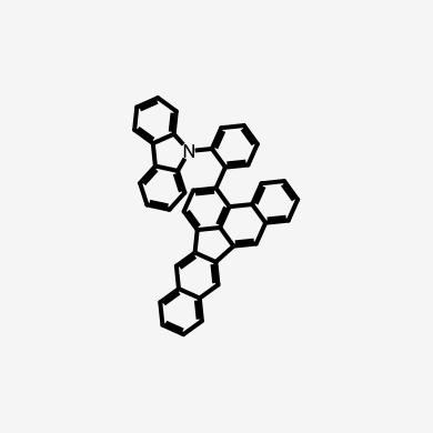 c1ccc(-n2c3ccccc3c3ccccc32)c(-c2ccc3c4c(cc5ccccc5c24)-c2cc4ccccc4cc2-3)c1